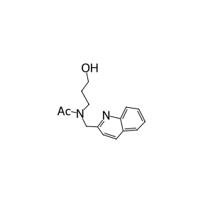 CC(=O)N(CCCO)Cc1ccc2ccccc2n1